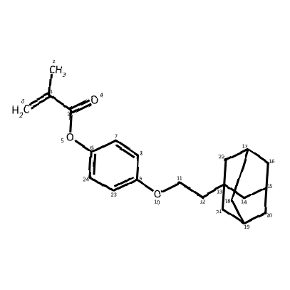 C=C(C)C(=O)Oc1ccc(OCCC23CC4CC(CC(C4)C2)C3)cc1